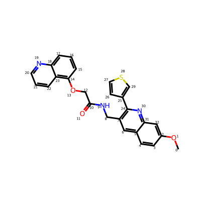 COc1ccc2cc(CNC(=O)COc3cccc4ncccc34)c(-c3ccsc3)nc2c1